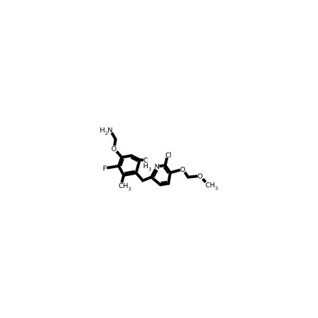 COCOc1ccc(Cc2c(C)cc(OCN)c(F)c2C)nc1Cl